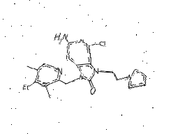 CCc1c(C)cnc(Cn2c(=O)n(CCn3cccc3)c3c(Cl)nc(N)nc32)c1C